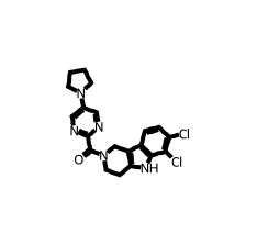 O=C(c1ncc(N2CCCC2)cn1)N1CCc2[nH]c3c(Cl)c(Cl)ccc3c2C1